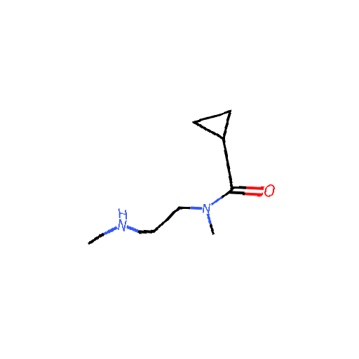 CNCCN(C)C(=O)C1CC1